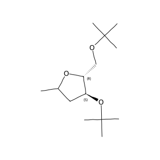 CC1C[C@H](OC(C)(C)C)[C@@H](COC(C)(C)C)O1